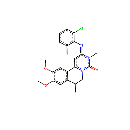 COc1cc2c(cc1OC)C(C)Cn1c-2cc(=Nc2c(C)cccc2Cl)n(C)c1=O